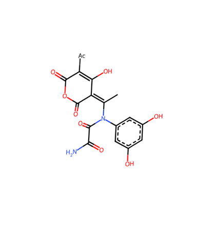 CC(=O)C1=C(O)C(=C(C)N(C(=O)C(N)=O)c2cc(O)cc(O)c2)C(=O)OC1=O